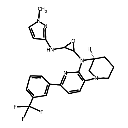 Cn1ccc(NC2OC2N2c3nc(-c4cccc(C(F)(F)F)c4)ccc3N3CCC[C@H]2C3)n1